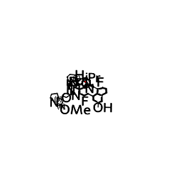 CO[C@H]1CN2CCC[C@@]2(COc2nc3c4c(nc(-c5cc(O)cc6ccc(F)c(C#C[Si](C(C)C)(C(C)C)C(C)C)c56)c(F)c4n2)OC[C@@H]2CCCCN32)C1